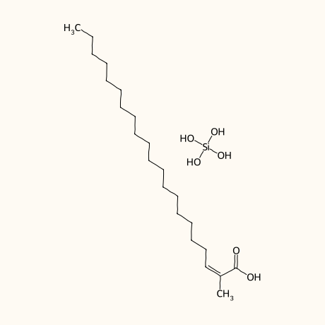 CCCCCCCCCCCCCCCCCCC=C(C)C(=O)O.O[Si](O)(O)O